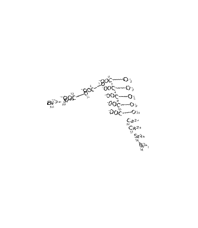 O=C([O-])[O-].O=C([O-])[O-].O=C([O-])[O-].O=C([O-])[O-].O=C([O-])[O-].O=C([O-])[O-].O=C([O-])[O-].[Bi+3].[Bi+3].[Ca+2].[Ca+2].[Sr+2].[Sr+2]